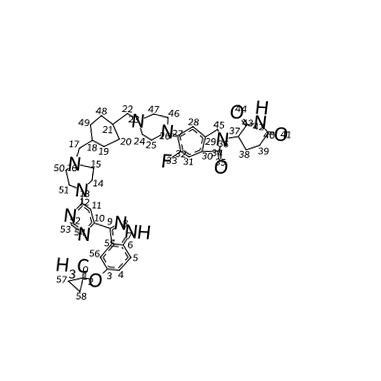 CC1(Oc2ccc3[nH]nc(-c4cc(N5CCN(CC6CCC(CN7CCN(c8cc9c(cc8F)C(=O)N(C8CCC(=O)NC8=O)C9)CC7)CC6)CC5)ncn4)c3c2)CC1